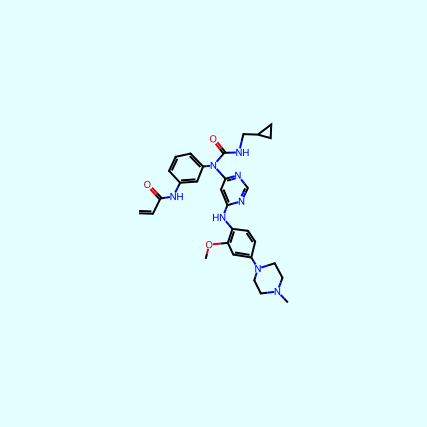 C=CC(=O)Nc1cccc(N(C(=O)NCC2CC2)c2cc(Nc3ccc(N4CCN(C)CC4)cc3OC)ncn2)c1